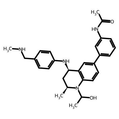 CNCc1ccc(N[C@@H]2C[C@H](C)N(C(C)O)c3ccc(-c4cccc(NC(C)=O)c4)cc32)cc1